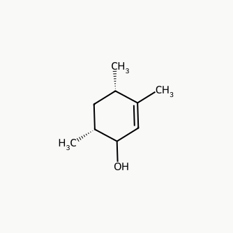 CC1=CC(O)[C@H](C)C[C@@H]1C